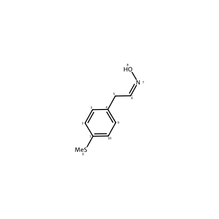 CSc1ccc(C/[C]=N\O)cc1